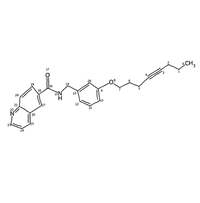 CCCC#CCCCOc1cccc(CNC(=O)c2ccc3ncccc3c2)c1